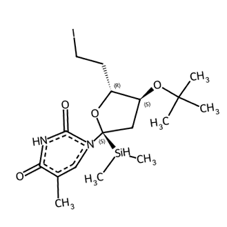 Cc1cn([C@@]2([SiH](C)C)C[C@H](OC(C)(C)C)[C@@H](CCI)O2)c(=O)[nH]c1=O